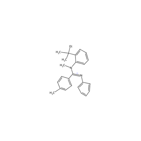 CCC(C)(C)c1ccccc1N(C)/C(=N/c1ccccc1)c1ccc(C)cc1